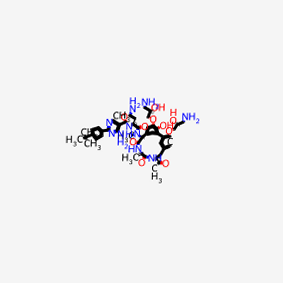 CC(=O)[C@@H]1Cc2ccc(OC[C@H](O)CN)c(c2)-c2cc(cc(OC[C@H](O)CN)c2O)[C@H](N(C)C(=O)[C@H](CCN)NC(=O)c2c(C)nc(-c3ccc(C(C)(C)C)cc3)nc2N)C(=O)N[C@@H](C)C(=O)N1